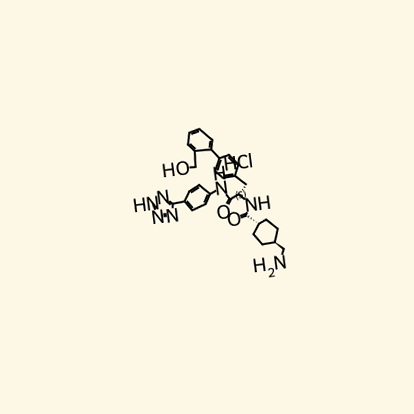 Cl.NC[C@H]1CC[C@H](C(=O)N[C@@H](Cc2ccc(-c3ccccc3CO)cc2)C(=O)Nc2ccc(-c3nn[nH]n3)cc2)CC1